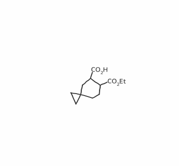 CCOC(=O)C1CCC2(CC2)CC1C(=O)O